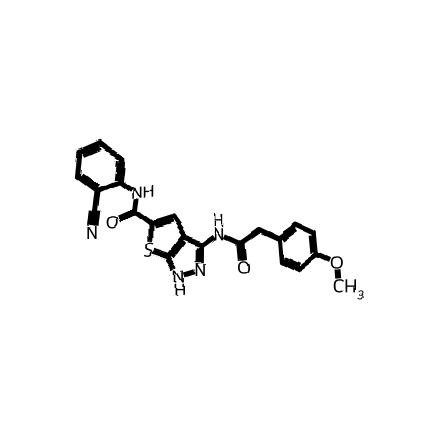 COc1ccc(CC(=O)Nc2n[nH]c3sc(C(=O)Nc4ccccc4C#N)cc23)cc1